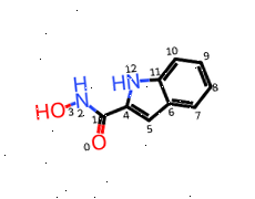 O=C(NO)c1cc2ccccc2[nH]1